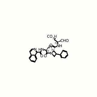 CC(C)[C@H](NC(=O)c1nccc2ccccc12)C(=O)N1CC(c2ccccc2)[C@H]1C(=O)N[C@H](C=O)CC(=O)O